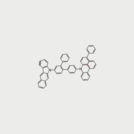 c1ccc2c(c#1)c1cc3ccccc3cc1n2-c1ccc(-c2ccc(N(c3ccc(-c4ccccc4)cc3)c3ccccc3-c3ccccc3)cc2)c(-c2ccccc2)c1